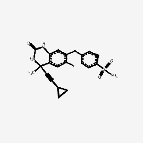 NS(=O)(=O)c1ccc(Cc2cc3c(cc2F)C(C#CC2CC2)(C(F)(F)F)NC(=O)N3)cc1